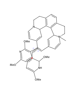 COC1=CC=C(/C=C/C2=CC3c4c(ccc5c4C4C=C(/C=C/c6ccc(OC)nc6OC)C=C[N+]4(C)CC5)CCN3C=C2)C(OC)N1